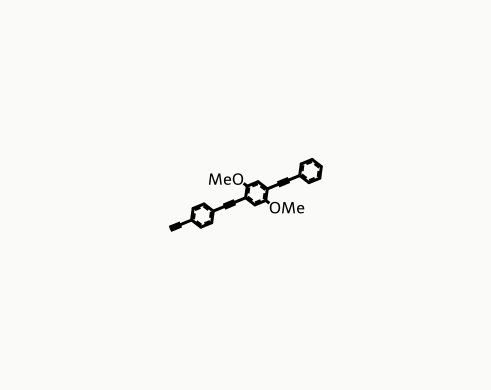 C#Cc1ccc(C#Cc2cc(OC)c(C#Cc3ccccc3)cc2OC)cc1